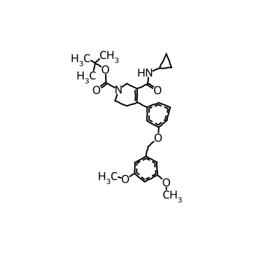 COc1cc(COc2cccc(C3=C(C(=O)NC4CC4)CN(C(=O)OC(C)(C)C)CC3)c2)cc(OC)c1